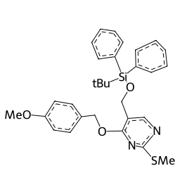 COc1ccc(COc2nc(SC)ncc2CO[Si](c2ccccc2)(c2ccccc2)C(C)(C)C)cc1